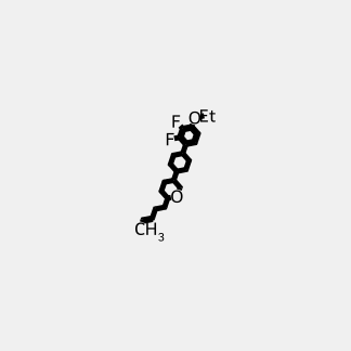 C/C=C/CCC1CCC(C2CCC(c3ccc(OCC)c(F)c3F)CC2)CO1